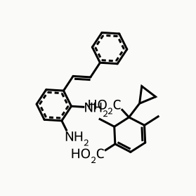 CC1=CC=C(C(=O)O)C(C)C1(C(=O)O)C1CC1.Nc1cccc(C=Cc2ccccc2)c1N